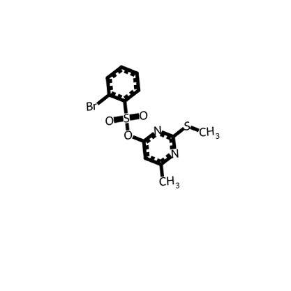 CSc1nc(C)cc(OS(=O)(=O)c2ccccc2Br)n1